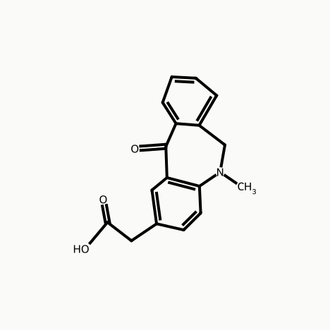 CN1Cc2ccccc2C(=O)c2cc(CC(=O)O)ccc21